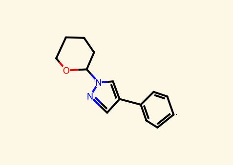 [c]1ccc(-c2cnn(C3CCCCO3)c2)cc1